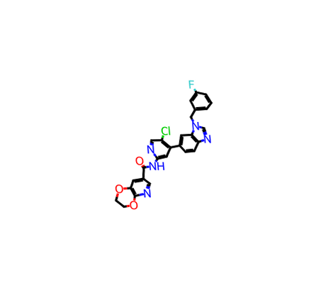 O=C(Nc1cc(-c2ccc3ncn(Cc4cccc(F)c4)c3c2)c(Cl)cn1)c1cnc2c(c1)OCCO2